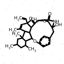 C=CC1(C)C=C(C)C2C3C(Oc4ccc(cc4)CC4(O)NC(=O)C5C(OC54)C(=O)C31)C1C(C)CC(C)CC21C